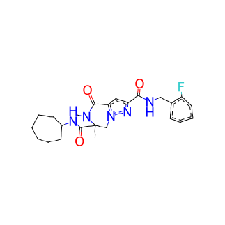 CN1C(=O)c2cc(C(=O)NCc3ccccc3F)nn2CC1(C)C(=O)NC1CCCCCC1